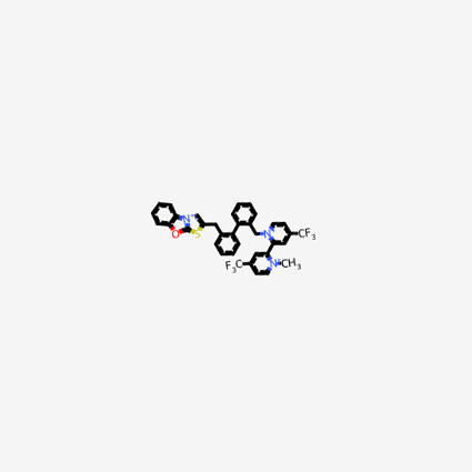 C[n+]1ccc(C(F)(F)F)cc1-c1cc(C(F)(F)F)cc[n+]1Cc1ccccc1-c1ccccc1Cc1c[n+]2c(oc3ccccc32)s1